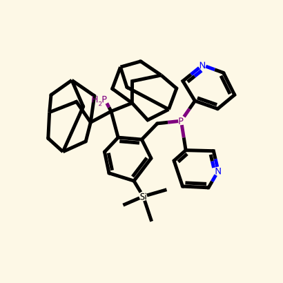 C[Si](C)(C)c1ccc(C(P)(C23CC4CC(CC(C4)C2)C3)C23CC4CC(CC(C4)C2)C3)c(CP(c2cccnc2)c2cccnc2)c1